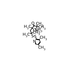 Cc1cnc(SSC(C)(C)CC(C)(C)C(=O)C(C)(C)C)c(C)c1